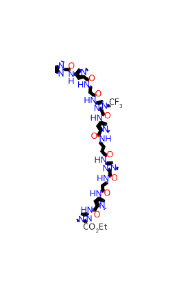 CCOC(=O)c1nc(NC(=O)c2cc(NC(=O)CCNC(=O)c3nc(NC(=O)CCCNC(=O)c4cc(NC(=O)c5nc(NC(=O)CCNC(=O)c6cc(NC(=O)c7nccn7C)cn6C)cn5CC(F)(F)F)cn4C)cn3C)cn2C)cn1C